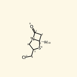 O=C1C[C@H]2SC(CCl)CN12